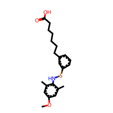 COc1cc(C)c(NSc2cccc(CCCCCCC(=O)O)c2)c(C)c1